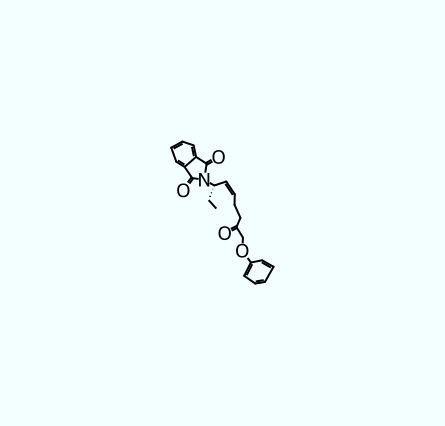 CC[C@@H](/C=C\CCC(=O)COc1ccccc1)N1C(=O)c2ccccc2C1=O